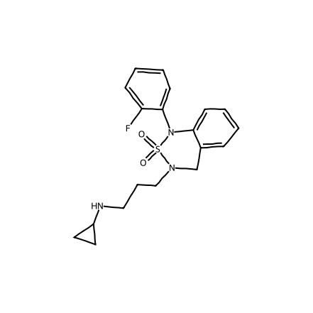 O=S1(=O)N(CCCNC2CC2)Cc2ccccc2N1c1ccccc1F